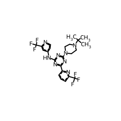 CC(C)(C)N1CCN(c2nc(Nc3ccnc(C(F)(F)F)c3)nc(-c3cccc(C(F)(F)F)n3)n2)CC1